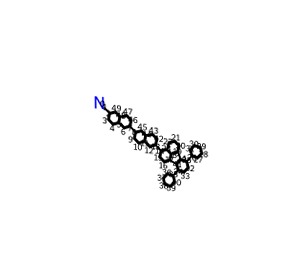 N#Cc1ccc2cc(-c3ccc4cc(-c5ccc6c7c(cccc57)-c5c(-c7ccccc7)ccc(-c7ccccc7)c5-6)ccc4c3)ccc2c1